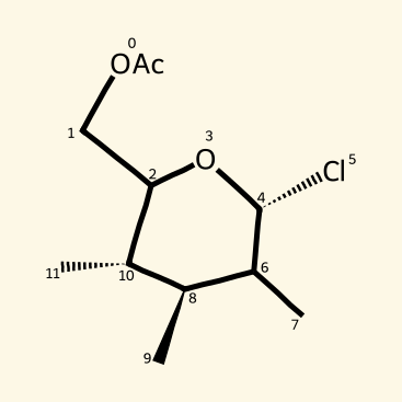 CC(=O)OCC1O[C@H](Cl)C(C)[C@@H](C)[C@@H]1C